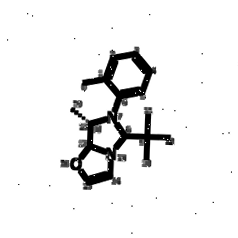 Cc1ccccc1N1C(C(C)(C)C)N2C=COC2[C@@H]1C